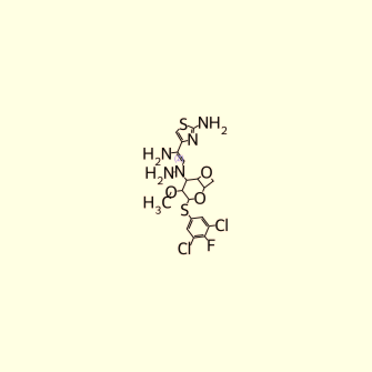 COC1C(Sc2cc(Cl)c(F)c(Cl)c2)OC2COC2C1N(N)/C=C(\N)c1csc(N)n1